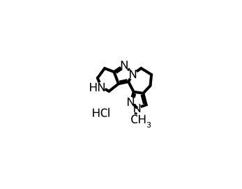 Cl.Cn1cc2c(n1)-c1c3c(nn1CCC2)CCNC3